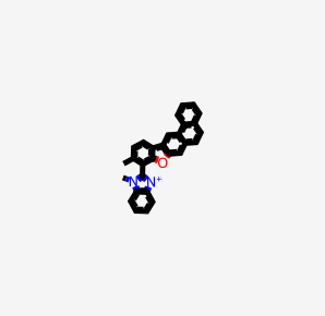 Cc1ccc2c(oc3cc4ccc5ccccc5c4cc32)c1-c1n(C)c2ccccc2[n+]1C